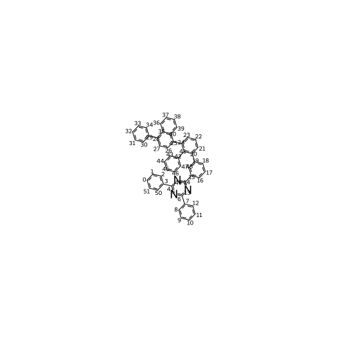 c1ccc(-c2nc(-c3ccccc3)nc(-c3cccc(-c4cccc(-c5ccc(-c6ccccc6)c6ccccc56)c4-c4ccccc4)c3)n2)cc1